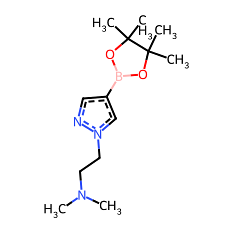 CN(C)CCn1cc(B2OC(C)(C)C(C)(C)O2)cn1